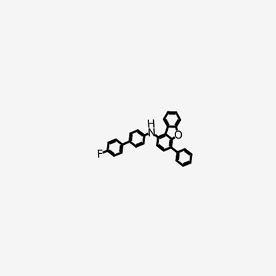 Fc1ccc(-c2ccc(Nc3ccc(-c4ccccc4)c4oc5ccccc5c34)cc2)cc1